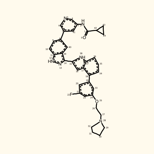 O=C(Nc1cncc(-c2ccc3[nH]nc(-c4cc5c(-c6cc(F)cc(OCCN7CCCC7)c6)cccc5[nH]4)c3c2)c1)C1CC1